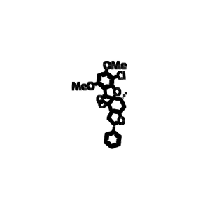 COc1cc(OC)c2c(c1Cl)O[C@@]1(C(=O)C3=C(C[C@H]1C)O[C@@H](c1ccccc1)C3)C2=O